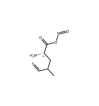 CC(C=S)C[C@H](N)C(=O)ON=O